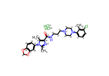 Cc1c(Cl)cccc1N1CCN(CCCNC(=O)c2nc(C)n(-c3ccc4c(c3)OCO4)c2C)CC1.Cl.Cl